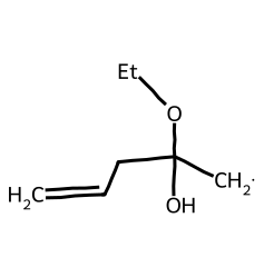 [CH2]C(O)(CC=C)OCC